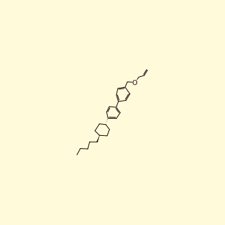 C=CCOCc1ccc(-c2ccc([C@H]3CC[C@H](CCCCC)CC3)cc2)cc1